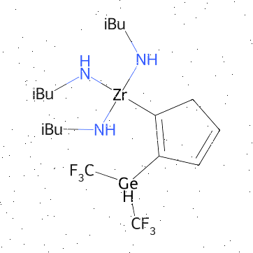 CCC(C)[NH][Zr]([NH]C(C)CC)([NH]C(C)CC)[C]1=[C]([GeH]([C](F)(F)F)[C](F)(F)F)C=CC1